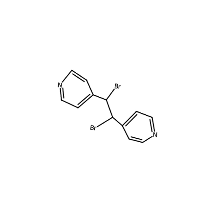 BrC(c1ccncc1)C(Br)c1ccncc1